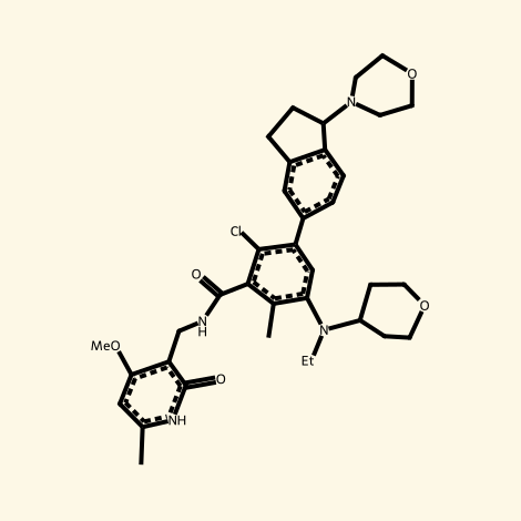 CCN(c1cc(-c2ccc3c(c2)CCC3N2CCOCC2)c(Cl)c(C(=O)NCc2c(OC)cc(C)[nH]c2=O)c1C)C1CCOCC1